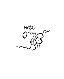 CC(C)CCC[C@@H](C)[C@H]1CC[C@H]2[C@@H]3CC=C4C[C@@H](O)CC[C@]4(C)[C@H]3CC[C@]12C.O=[PH](O)C(O)c1ccccc1